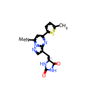 CNc1cc(-c2ccc(C)s2)nc2c(/C=C3\NC(=O)NC3=O)cnn12